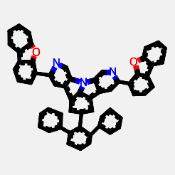 c1ccc(-c2cccc(-c3ccccc3)c2-c2cc3c4cc(-c5cccc6c5oc5ccccc56)ncc4n4c5cnc(-c6cccc7c6oc6ccccc67)cc5c(c2)c34)cc1